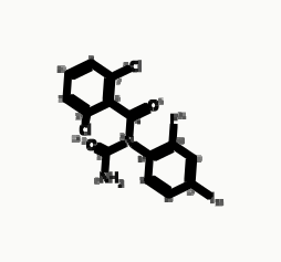 NC(=O)N(C(=O)c1c(Cl)cccc1Cl)c1ccc(I)cc1F